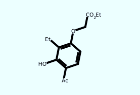 CCOC(=O)COc1ccc(C(C)=O)c(O)c1CC